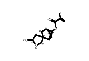 C=C(C)C(=O)OC1CC2CCC1CC21COC(=O)C1